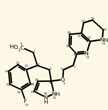 O=C(O)CC(CC1(OCCc2ccc3c(n2)NCCC3)C=CNN1)c1cccc(F)c1